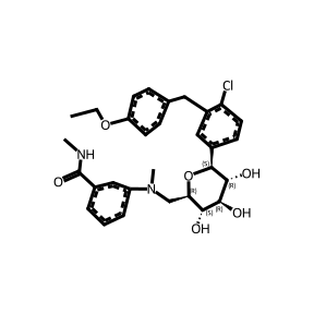 CCOc1ccc(Cc2cc([C@@H]3O[C@H](CN(C)c4cccc(C(=O)NC)c4)[C@@H](O)[C@H](O)[C@H]3O)ccc2Cl)cc1